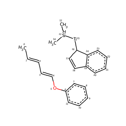 CC=CC=COc1ccccc1.C[SiH](C)[Ti][CH]1C=Cc2ccccc21